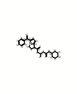 C=C(CC(C)CC(=C)C1CCn2c(C(=C)c3ccccc3)ccc21)CC1CCCCC1